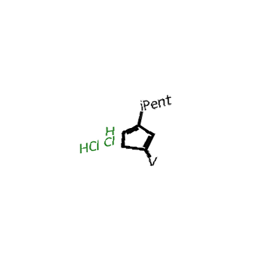 CCCC(C)C1=CC[C]([V])=C1.Cl.Cl